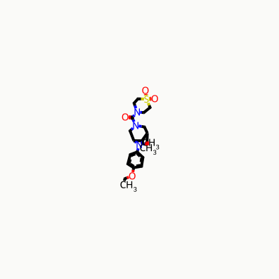 CCOc1ccc(N2CC3CN(C(=O)N4CCS(=O)(=O)CC4)CC2C3(C)C)cc1